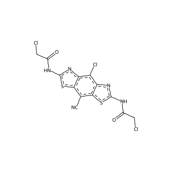 N#Cc1c2sc(NC(=O)CCl)nc2c(Cl)c2nc(NC(=O)CCl)sc12